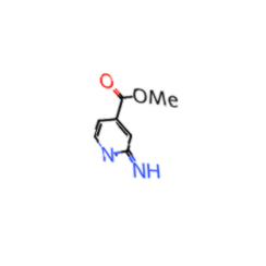 COC(=O)C1=CC(=N)[N]C=C1